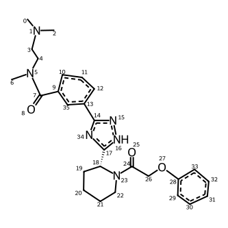 CN(C)CCN(C)C(=O)c1cccc(-c2n[nH]c([C@H]3CCCCN3C(=O)COc3ccccc3)n2)c1